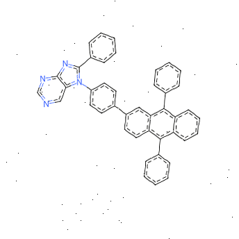 c1ccc(-c2c3ccccc3c(-c3ccccc3)c3cc(-c4ccc(-n5c(-c6ccccc6)nc6ncncc65)cc4)ccc23)cc1